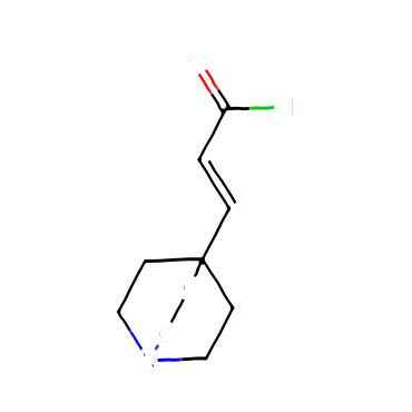 O=C(Cl)C=CC12CCN(CC1)CC2